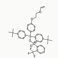 C=COCCOc1ccc(S(OS(=O)(=O)c2ccccc2C(F)(F)F)(c2ccc(C(C)(C)C)cc2)c2ccc(C(C)(C)C)cc2)cc1